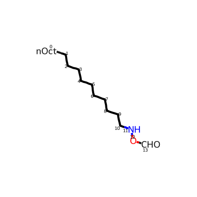 CCCCCCCCCCCCCCCCCCNOC=O